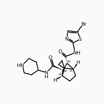 O=C(NC1CCNCC1)[C@H]1[C@H](C(=O)Nc2ncc(Br)s2)[C@@H]2CC[C@H]1C21CC1